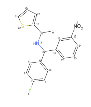 CC(NC(c1ccc(F)cc1)c1cccc([N+](=O)[O-])c1)c1cccs1